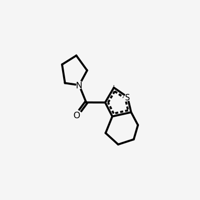 O=C(c1[c]sc2c1CCCC2)N1CCCC1